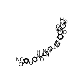 N#Cc1ccc(O[C@H]2CC[C@H](NC(=O)c3cnc(N4CC[C@@H](CN5CCN(c6ccc7c(c6)CC(=O)N(C6CCC(=O)NC6=O)C7=O)CC5)C4)nc3)CC2)cc1Cl